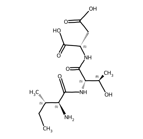 CC[C@H](C)[C@H](N)C(=O)N[C@H](C(=O)N[C@@H](CC(=O)O)C(=O)O)[C@@H](C)O